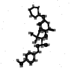 C=C(CC(=O)OC1CCCCC1)C(=O)OC(C(=O)OCc1ccc(OC)cc1)C(F)(F)F